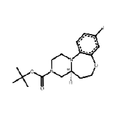 CC(C)(C)OC(=O)N1CCN2c3ccc(I)cc3OCC[C@H]2C1